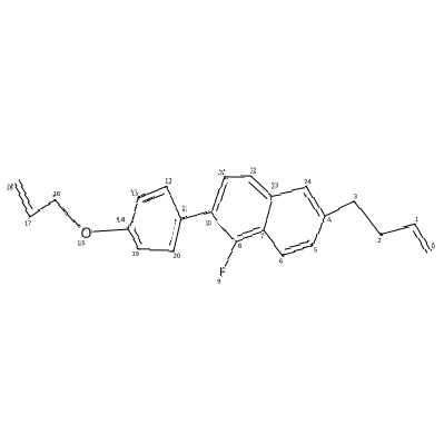 C=CCCc1ccc2c(F)c(-c3ccc(OCC=C)cc3)ccc2c1